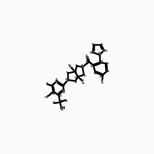 Cc1nc(N2C[C@]3(F)CN(C(=O)c4cc(F)ccc4-n4nccn4)C[C@]3(F)C2)nc(C(C)(C)O)c1F